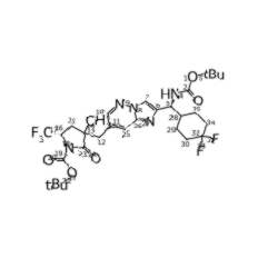 CC(C)(C)OC(=O)N[C@H](c1cn2ncc(CC3(C)C[C@@H](C(F)(F)F)N(C(=O)OC(C)(C)C)C3=O)cc2n1)C1CCC(F)(F)CC1